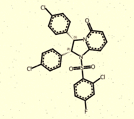 O=c1cccc2n1[C@@H](c1ccc(Cl)cc1)[C@@H](c1ccc(Cl)cc1)N2S(=O)(=O)c1ccc(F)cc1Cl